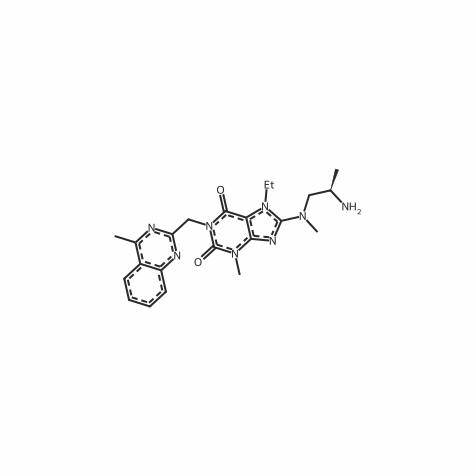 CCn1c(N(C)C[C@@H](C)N)nc2c1c(=O)n(Cc1nc(C)c3ccccc3n1)c(=O)n2C